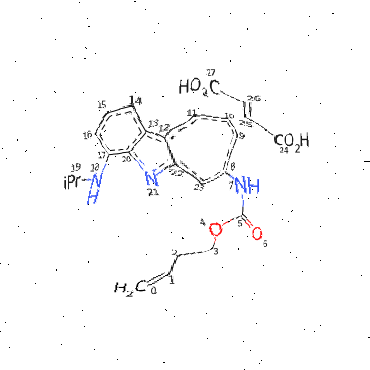 C=CCCOC(=O)Nc1cccc2c3cccc(NC(C)C)c3nc-2c1.O=C(O)C=CC(=O)O